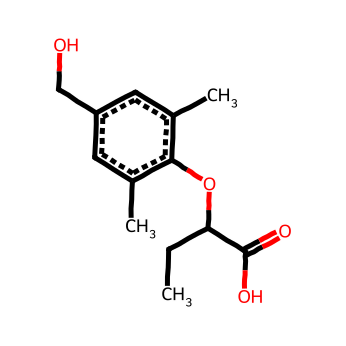 CCC(Oc1c(C)cc(CO)cc1C)C(=O)O